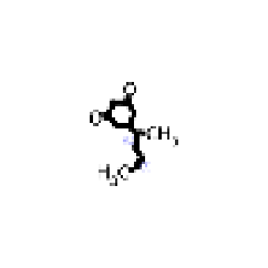 C/C=C\C=C(/C)C1CC(=O)CC(=O)C1